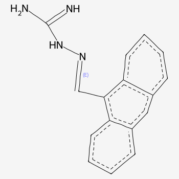 N=C(N)N/N=C/c1c2ccccc2cc2ccccc12